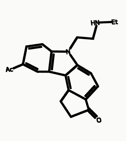 CCNCCn1c2ccc(C(C)=O)cc2c2c3c(ccc21)C(=O)CC3